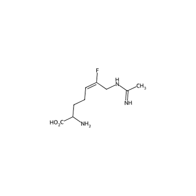 CC(=N)NC/C(F)=C\CCC(N)C(=O)O